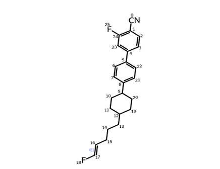 N#Cc1ccc(-c2ccc(C3CCC(CCC/C=C/F)CC3)cc2)cc1F